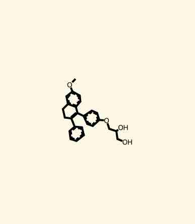 COc1ccc2c(c1)CCC(c1ccccc1)=C2c1ccc(OCC(O)CO)cc1